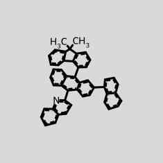 CC1(C)c2ccccc2-c2c(-c3c4ccccc4c(-c4ccc5ccccc5n4)c4ccc(-c5cccc6ccccc56)cc34)cccc21